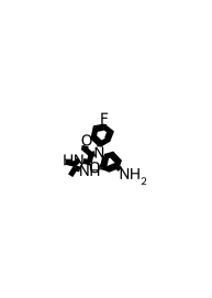 CCNC1(NCC)Oc2cc(N)ccc2N(c2ccc(F)cc2)C1C=O